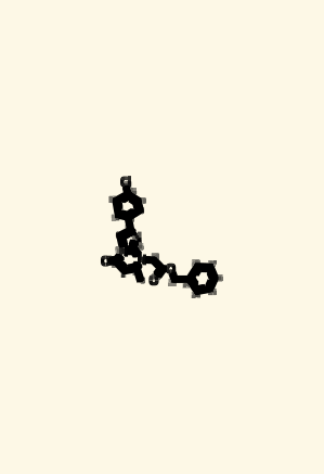 Cc1cc(=O)n2cc(-c3ccc(Cl)cc3)nc2n1CC(=O)OCc1ccccc1